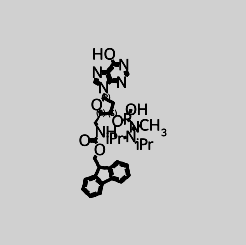 CC(C)N(C(C)C)N(C)P(O)O[C@H]1C[C@H](n2cnc3c(O)ncnc32)O[C@@H]1CNC(=O)OCC1c2ccccc2-c2ccccc21